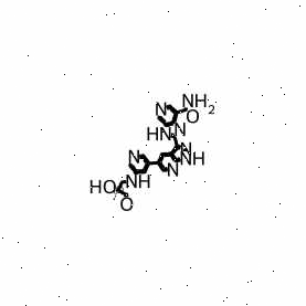 C[C@@](O)(C=O)CNc1cncc(-c2cnc3[nH]nc(-c4nc5c(C(N)=O)cncc5[nH]4)c3c2)c1